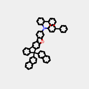 c1ccc(-c2ccc(N(c3ccc4c(c3)oc3cc5c(cc34)-c3ccccc3C5(c3ccc4ccccc4c3)c3ccc4ccccc4c3)c3ccccc3-c3ccccc3)cc2)cc1